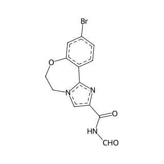 O=CNC(=O)c1cn2c(n1)-c1ccc(Br)cc1OCC2